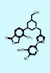 COc1cc(-n2cc(CN3CC(CO)CC(c4ccc5c(c4C)COC5=O)C3)cn2)ncc1C#N